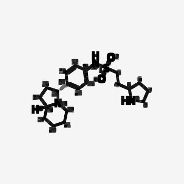 O=S(=O)(CCC1CCCN1)Nc1ccc([C@H]2CC[C@H]3CCCCN32)cc1